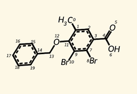 Cc1cc(C(=O)O)c(Br)c(Br)c1OCc1ccccc1